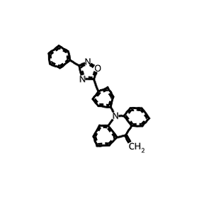 C=C1c2ccccc2N(c2ccc(-c3nc(-c4ccccc4)no3)cc2)c2ccccc21